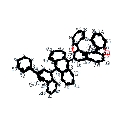 c1ccc(-c2cc(-c3c4ccccc4c(-c4cc5ccc6oc7ccccc7c6c5c5c4oc4ccccc45)c4ccccc34)c3ccccc3c2)cc1